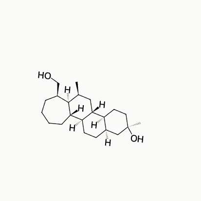 C[C@H]1C[C@H]2[C@@H](CC[C@@H]3C[C@](C)(O)CC[C@@H]32)[C@@H]2CCCC[C@@H](CO)[C@H]21